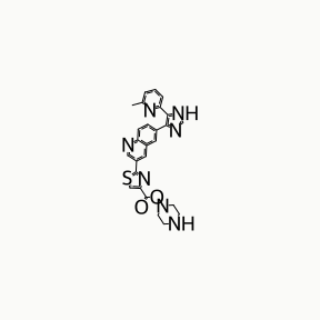 Cc1cccc(-c2[nH]cnc2-c2ccc3ncc(-c4nc(C(=O)ON5CCNCC5)cs4)cc3c2)n1